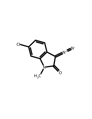 CN1C(=O)C(=[N+]=[N-])c2ccc(Cl)cc21